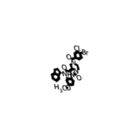 COc1ccc(-n2c(C(=O)N[C@@H]3CCc4ccccc43)c3n(c2=O)CCN(C(=O)c2ccc(Br)c(Cl)c2)C3)cc1